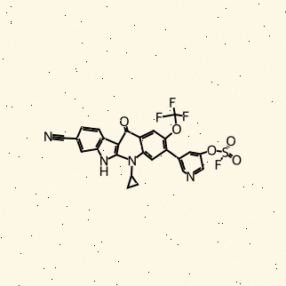 N#Cc1ccc2c(c1)[nH]c1c2c(=O)c2cc(OC(F)(F)F)c(-c3cncc(OS(=O)(=O)F)c3)cc2n1C1CC1